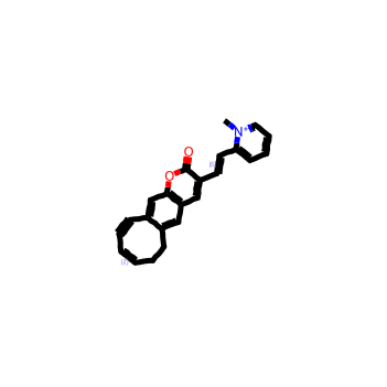 C[n+]1ccccc1/C=C/c1cc2cc3c(cc2oc1=O)C#C/C=C\CC3